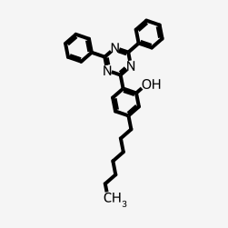 CCCCCCCc1ccc(-c2nc(-c3ccccc3)nc(-c3ccccc3)n2)c(O)c1